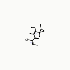 C=C/C(=C(\C)C(=C)/C(Cl)=C\C)C1(C)CC1C